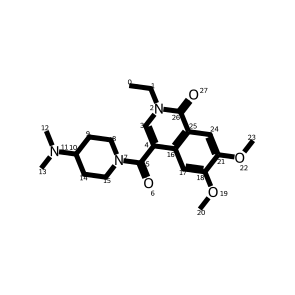 CCn1cc(C(=O)N2CCC(N(C)C)CC2)c2cc(OC)c(OC)cc2c1=O